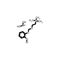 CCOc1ccccc1OCOCC[Si](C)(C)C.OBO